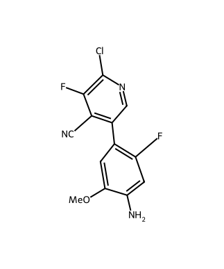 COc1cc(-c2cnc(Cl)c(F)c2C#N)c(F)cc1N